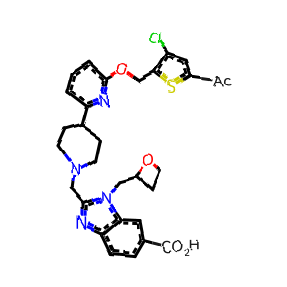 CC(=O)c1cc(Cl)c(COc2cccc(C3CCN(Cc4nc5ccc(C(=O)O)cc5n4CC4CCO4)CC3)n2)s1